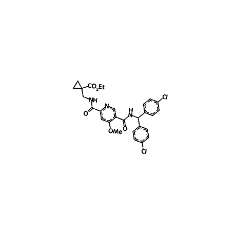 CCOC(=O)C1(CNC(=O)c2cc(OC)c(C(=O)NC(c3ccc(Cl)cc3)c3ccc(Cl)cc3)cn2)CC1